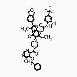 CCc1c(N2CCN(C(=O)c3ncnc(C)c3OCc3ccccc3)CC2)c(=O)n2c(C)c(-c3ccc4c(c3)COC4)nc2n1CC(=O)Nc1ccc(C(F)(F)F)cc1Cl